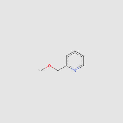 [CH]OCc1ccccn1